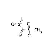 CS(=O)(=O)C(=O)[S+]([O-])I